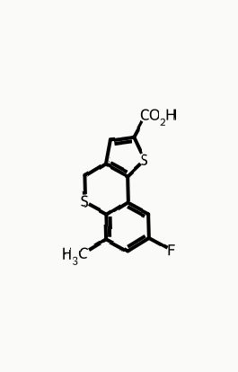 Cc1cc(F)cc2c1SCc1cc(C(=O)O)sc1-2